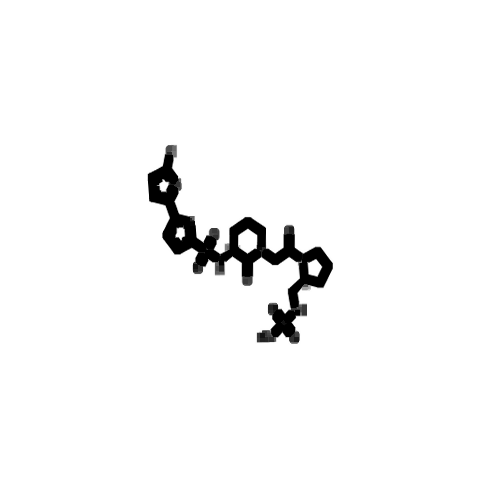 CCCCS(=O)(=O)NC[C@@H]1CCCN1C(=O)CN1CCC[C@H](NS(=O)(=O)c2ccc(-c3ccc(Cl)s3)s2)C1=O